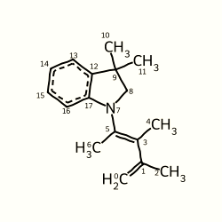 C=C(C)/C(C)=C(\C)N1CC(C)(C)c2ccccc21